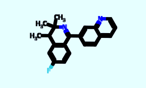 CC1c2cc(F)ccc2C(c2ccc3cccnc3c2)=NC1(C)C